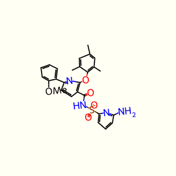 COc1ccccc1-c1ccc(C(=O)NS(=O)(=O)c2cccc(N)n2)c(Oc2c(C)cc(C)cc2C)n1